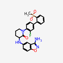 CS(=O)(=O)c1ccccc1-c1ccc(N2CCCC(Nc3ccc4onc(N)c4c3)C2=O)c(F)c1